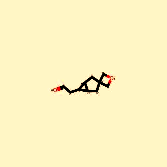 O=CCC1C2CC3(COC3)CC12